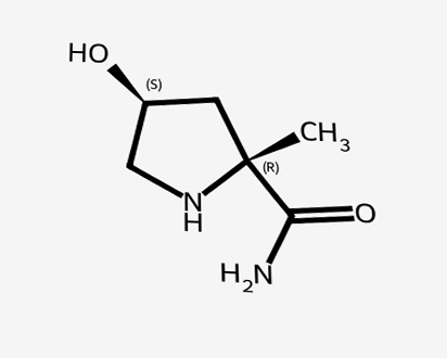 C[C@]1(C(N)=O)C[C@H](O)CN1